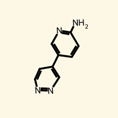 Nc1ccc(-c2ccnnc2)cn1